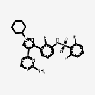 Nc1nccc(-c2cn(C3CCCCC3)nc2-c2cccc(NS(=O)(=O)c3c(F)cccc3F)c2F)n1